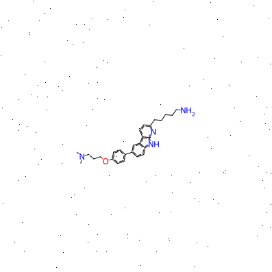 CN(C)CCCOc1ccc(-c2ccc3[nH]c4nc(CCCCCN)ccc4c3c2)cc1